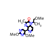 COCC(C)n1c(=O)c(C)nc2c(-c3cnc(OC)nc3OC)nccc21